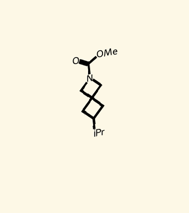 COC(=O)N1CC2(CC(C(C)C)C2)C1